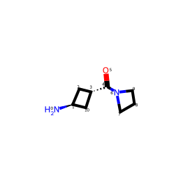 N[C@H]1C[C@H](C(=O)N2CCC2)C1